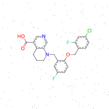 O=C(O)c1cncc2c1CCCN2Cc1cc(F)ccc1OCc1ccc(Cl)cc1F